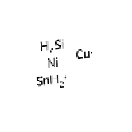 [Cu].[Ni].[SiH4].[SnH2]